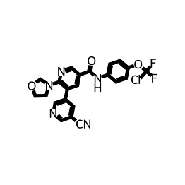 N#Cc1cncc(-c2cc(C(=O)Nc3ccc(OC(F)(F)Cl)cc3)cnc2N2CCOC2)c1